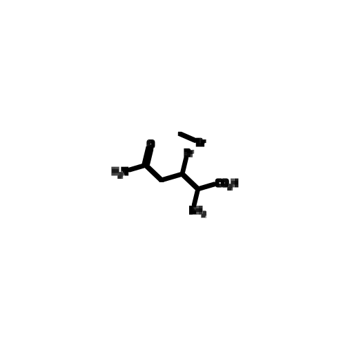 CBr.NC(=O)CC(Br)C(N)C(=O)O